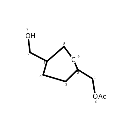 CC(=O)OCC1CCC(CO)CC1